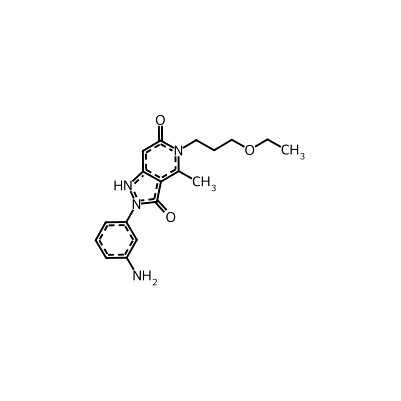 CCOCCCn1c(C)c2c(=O)n(-c3cccc(N)c3)[nH]c2cc1=O